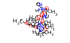 CCCOCCOCCOCCN(C)[C@H](C(=O)N[C@H](C(=O)N(C)[C@@H]([C@@H](C)CC)[C@@H](CC(=O)N1CCC[C@H]1[C@H](OC)[C@@H](C)C(=O)NCCc1ccccn1)OC)C(C)C)C(C)C